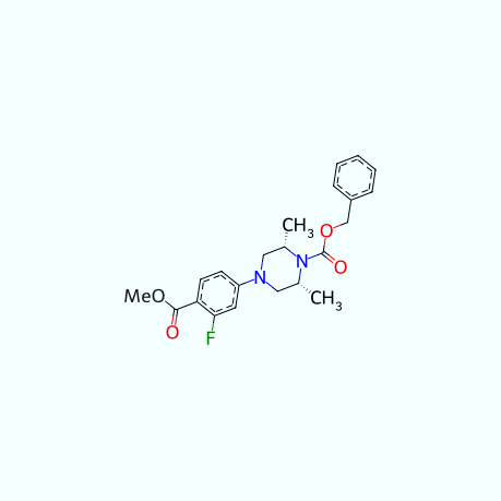 COC(=O)c1ccc(N2C[C@@H](C)N(C(=O)OCc3ccccc3)[C@@H](C)C2)cc1F